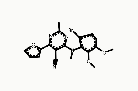 COc1ccc(Br)c(N(C)c2nc(C)nc(-c3ccco3)c2C#N)c1OC